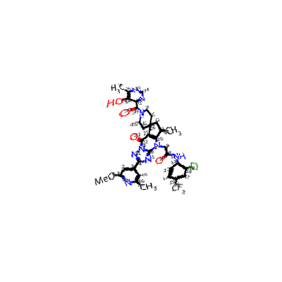 COc1cc(-c2nc3n(CC(=O)Nc4ccc(C(F)(F)F)cc4Cl)c4c(c(=O)n3n2)C2(CCN(C(=O)c3ncnc(C)c3O)CC2)CC4C)cc(C)n1